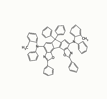 Cc1ccccc1N(c1ccccc1)c1cc2c(c3oc(-c4ccccc4)nc13)-c1c(cc(N(c3ccccc3)c3ccccc3C)c3nc(-c4ccccc4)oc13)C2(c1ccccc1)c1ccccc1